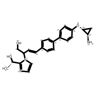 C[C@H](O)c1nccn1C(C=Cc1ccc(-c2ccc(O[C@@H]3C[C@H]3N)cc2)cc1)CO